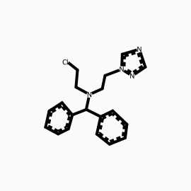 ClCCN(CCn1cncn1)C(c1ccccc1)c1ccccc1